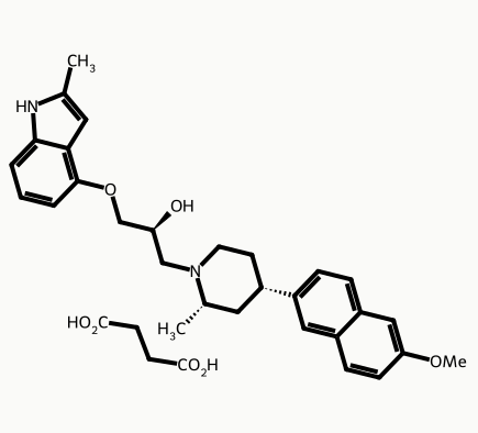 COc1ccc2cc([C@H]3CCN(C[C@H](O)COc4cccc5[nH]c(C)cc45)[C@@H](C)C3)ccc2c1.O=C(O)CCC(=O)O